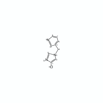 Clc1cn(Cc2cccnc2)cn1